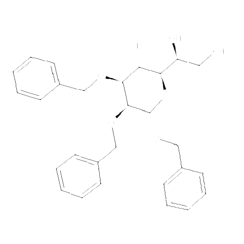 CC[C@H](O)[C@H]1O[C@H](OCc2ccccc2)[C@@H](OCc2ccccc2)[C@@H](OCc2ccccc2)[C@@H]1C